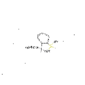 CCCCCCC(C)(CCC)c1ccccc1S(C)(C)C(C)C